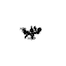 CCCC[N+]1=C(/C=C/C2=C(c3c(F)cc(F)cc3F)C(=C/C=C3/N(CCC)c4ccc(S(=O)(=O)O)cc4C3(C)C)/CC(C(=O)O)C2)C(C)(C)c2ccccc21